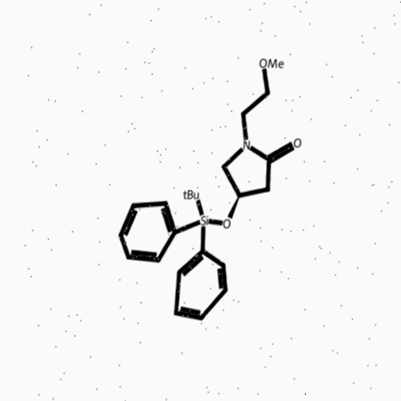 COCCN1C[C@H](O[Si](c2ccccc2)(c2ccccc2)C(C)(C)C)CC1=O